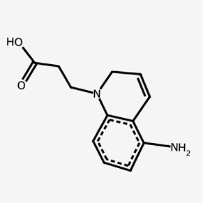 Nc1cccc2c1C=CCN2CCC(=O)O